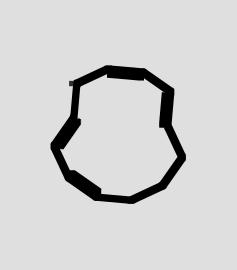 [CH]1/C=C\C=C\CCC/C=C\C=C\1